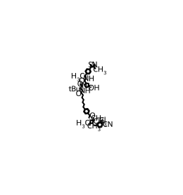 Cc1ncsc1-c1ccc([C@H](C)NC(=O)C2C[C@@H](O)CN2C(=O)[C@@H](NC(=O)CCCCCCc2ccc(C(=O)C[C@H]3C(C)(C)[C@H](Cc4ccc(C#N)c(Cl)c4)C3(C)C)cc2)C(C)(C)C)cc1